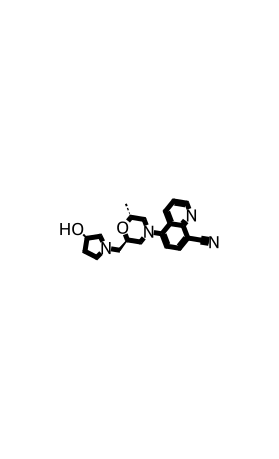 C[C@@H]1CN(c2ccc(C#N)c3ncccc23)C[C@@H](CN2CC[C@H](O)C2)O1